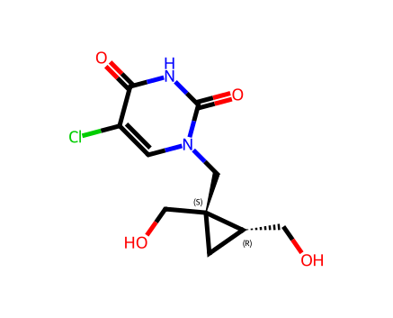 O=c1[nH]c(=O)n(C[C@]2(CO)C[C@H]2CO)cc1Cl